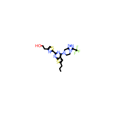 CCCc1cc2c(N3CCn4c(nnc4C(F)(F)F)C3)nc(-c3nc(CCO)cs3)nc2s1